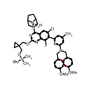 COc1ccc(CN(Cc2ccc(OC)cc2)c2cc(C)cc(-c3c(Cl)cc4c(N5CC6CCC(C5)N6C(=O)O)nc(OCC5(CO[Si](C)(C)C(C)(C)C)CC5)nc4c3F)n2)cc1